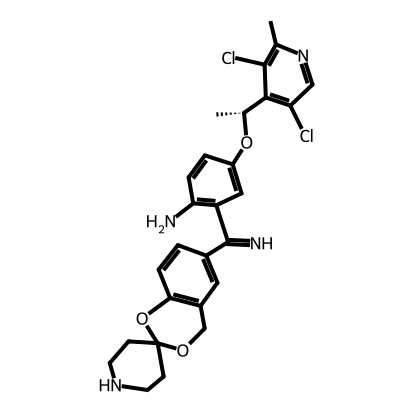 Cc1ncc(Cl)c([C@@H](C)Oc2ccc(N)c(C(=N)c3ccc4c(c3)COC3(CCNCC3)O4)c2)c1Cl